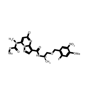 COc1cc(F)c(COC[C@@H](C)NC(=O)c2cnn3c(N(C)C(=O)OC(C)(C)C)cc(Cl)nc23)cc1[N+](=O)[O-]